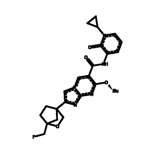 CC[C@@H](C)Oc1nc2nc(C34CCC(CF)(C3)OC4)cn2cc1C(=O)Nc1cccn(C2CC2)c1=O